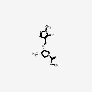 C[C@H]1CN(C(=O)OC(C)(C)C)C[C@H]1OCc1cnn(C)c1Br